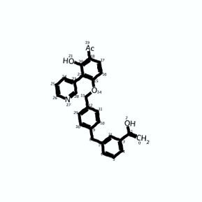 C=C(O)c1cccc(Cc2ccc(COc3ccc(C(C)=O)c(O)c3-c3cccnc3)cc2)c1